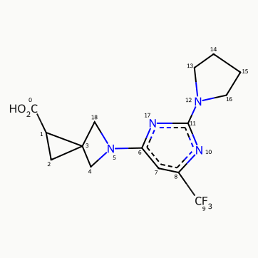 O=C(O)C1CC12CN(c1cc(C(F)(F)F)nc(N3CCCC3)n1)C2